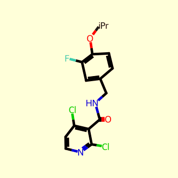 CC(C)Oc1ccc(CNC(=O)c2c(Cl)ccnc2Cl)cc1F